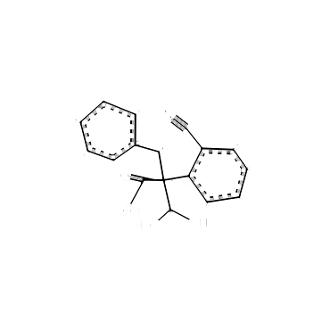 CC(C)C(Cc1ccccc1)(C(=O)O)c1ccccc1C#N